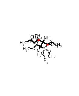 CCCCC(N)(CCC)C(N)([Si](OC)(OC)OC)[Si](OC)(OC)OC